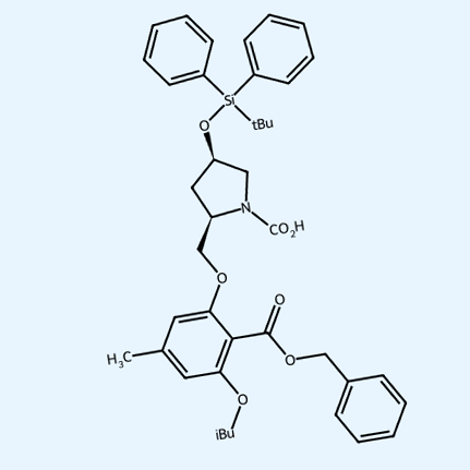 CCC(C)Oc1cc(C)cc(OC[C@H]2C[C@@H](O[Si](c3ccccc3)(c3ccccc3)C(C)(C)C)CN2C(=O)O)c1C(=O)OCc1ccccc1